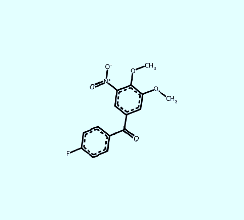 COc1cc(C(=O)c2ccc(F)cc2)cc([N+](=O)[O-])c1OC